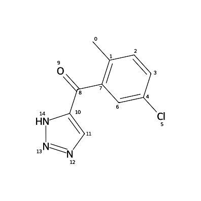 Cc1ccc(Cl)cc1C(=O)c1cnn[nH]1